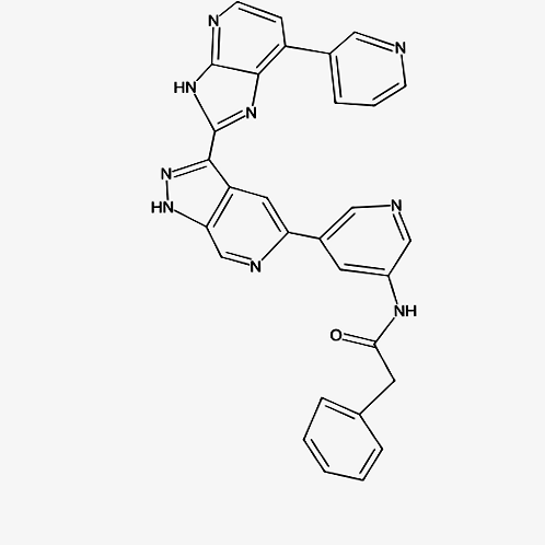 O=C(Cc1ccccc1)Nc1cncc(-c2cc3c(-c4nc5c(-c6cccnc6)ccnc5[nH]4)n[nH]c3cn2)c1